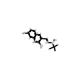 CC(C)(C)[S@@+]([O-])/N=C/c1cc2ccc(F)cc2nc1Cl